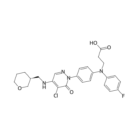 O=C(O)CCN(c1ccc(F)cc1)c1ccc(-n2ncc(NC[C@@H]3CCCOC3)c(Cl)c2=O)cc1